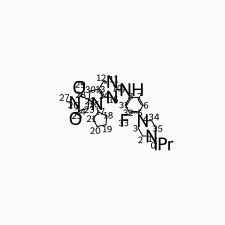 CC(C)N1CCN(c2ccc(Nc3ncc4c(n3)N(C3CCCC3)C3(CC(=O)N(C)C3=O)C4)cc2F)CC1